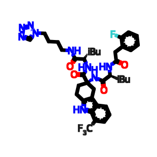 CCC(C)[C@H](NC(=O)Cc1ccccc1F)C(=O)N[C@]1(C(=O)NC(C(=O)NCCCCn2cnnn2)[C@@H](C)CC)CCc2[nH]c3c(C(F)(F)F)cccc3c2C1